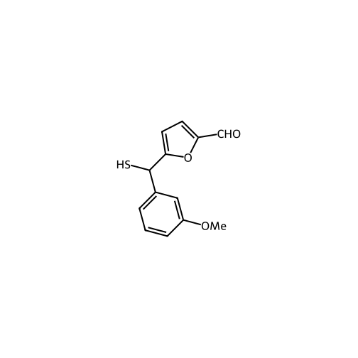 COc1cccc(C(S)c2ccc(C=O)o2)c1